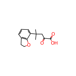 CC(C)(CC(=O)C(=O)O)c1cccc2c1OCC2